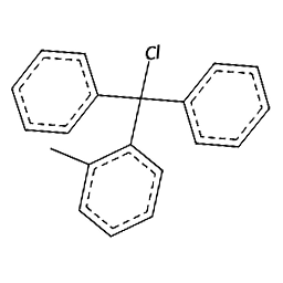 Cc1ccccc1C(Cl)(c1ccccc1)c1ccccc1